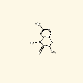 Cc1ccc2c(c1)N(C)C(=O)[C@H](C)O2